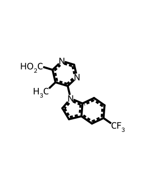 Cc1c(C(=O)O)ncnc1-n1ccc2cc(C(F)(F)F)ccc21